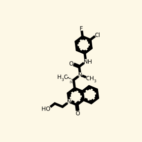 C[C@@H](c1cn(CCO)c(=O)c2ccccc12)N(C)C(=O)Nc1ccc(F)c(Cl)c1